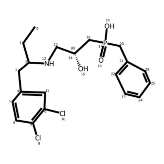 CCC(Cc1ccc(Cl)c(Cl)c1)NC[C@@H](O)CP(=O)(O)Cc1ccccc1